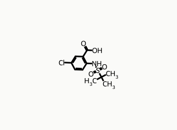 CC(C)(C)S(=O)(=O)Nc1ccc(Cl)cc1C(=O)O